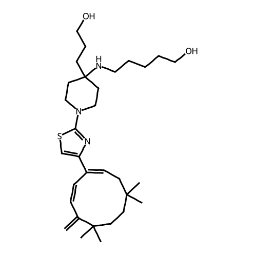 C=C1/C=C\C(c2csc(N3CCC(CCCO)(NCCCCCO)CC3)n2)=C/CC(C)(C)CCC1(C)C